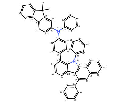 CC1(C)c2ccccc2-c2ccc(N(c3ccccc3)c3ccc(-c4cccc5c6c(-c7ccccc7)cc7ccccc7c6n(-c6ccccc6)c45)cc3)cc21